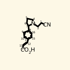 N#CCCN1CCCC1c1ccc(/C=C/C(=O)O)cc1